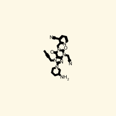 CC#CCn1c(N2CCCC(N)C2)nc2c1c(=O)n(Cc1ncccc1C#N)c(=O)n2CC#N